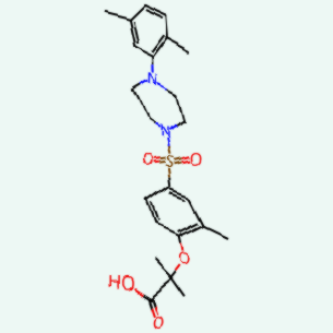 Cc1ccc(C)c(N2CCN(S(=O)(=O)c3ccc(OC(C)(C)C(=O)O)c(C)c3)CC2)c1